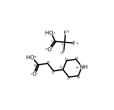 O=C(O)C(F)(F)F.O=C(O)CCC1CCNCC1